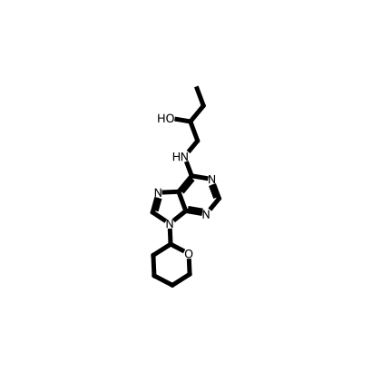 CCC(O)CNc1ncnc2c1ncn2C1CCCCO1